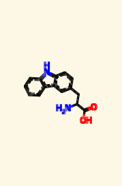 NC(Cc1ccc2[nH]c3ccccc3c2c1)C(=O)O